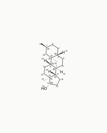 C[C@H]1CC[C@@H]2CC[C@@H]3[C@H](CC[C@]4(C)[C@@H](O)CC[C@@H]34)[C@@]2(C)C1